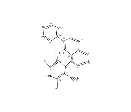 CC1=C(C(=O)O)C(c2cccc3ncc(-c4ccccc4)cc23)C(C(=O)O)=C(C)N1